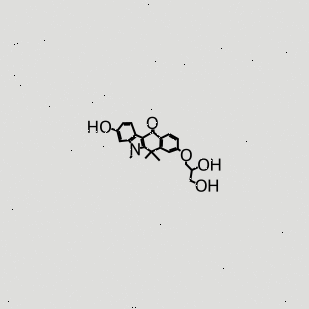 Cn1c2c(c3ccc(O)cc31)C(=O)c1ccc(OCC(O)CO)cc1C2(C)C